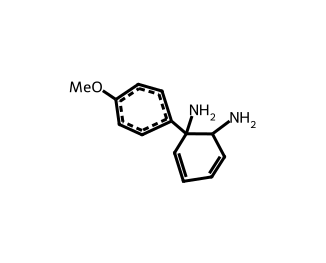 COc1ccc(C2(N)C=CC=CC2N)cc1